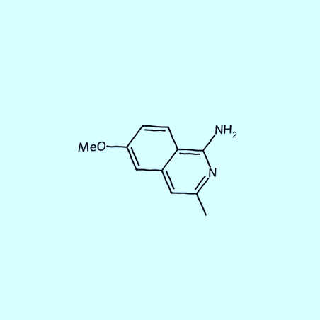 COc1ccc2c(N)nc(C)cc2c1